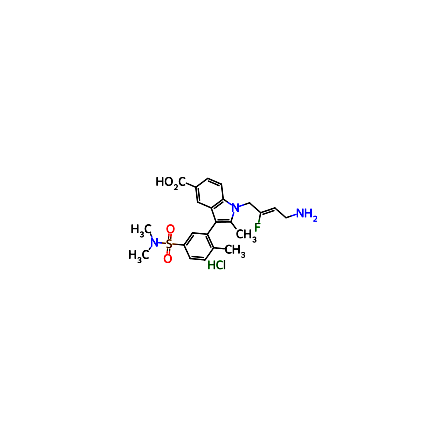 Cc1ccc(S(=O)(=O)N(C)C)cc1-c1c(C)n(C/C(F)=C/CN)c2ccc(C(=O)O)cc12.Cl